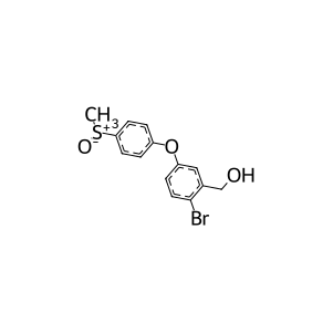 C[S+]([O-])c1ccc(Oc2ccc(Br)c(CO)c2)cc1